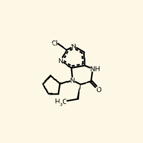 CC[C@@H]1C(=O)Nc2cnc(Cl)nc2N1C1CCCC1